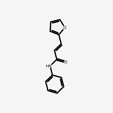 O=C(C=Cc1ccco1)Nc1ccccc1